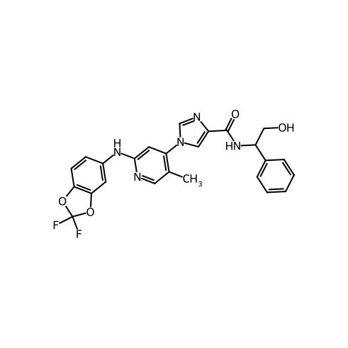 Cc1cnc(Nc2ccc3c(c2)OC(F)(F)O3)cc1-n1cnc(C(=O)NC(CO)c2ccccc2)c1